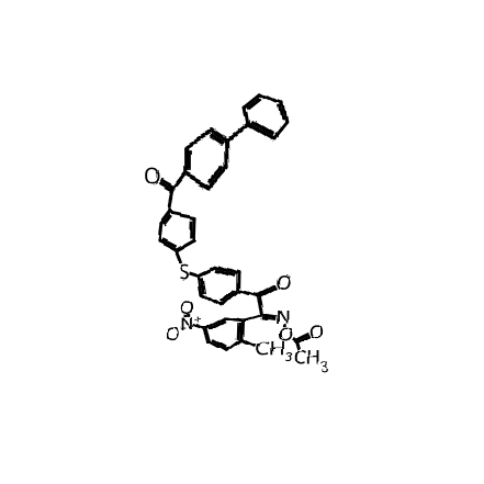 CC(=O)O/N=C(/C(=O)c1ccc(Sc2ccc(C(=O)c3ccc(-c4ccccc4)cc3)cc2)cc1)c1cc([N+](=O)[O-])ccc1C